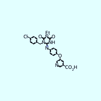 CCn1c(=O)[nH]/c(=N\c2ccc(Oc3cncc(C(=O)O)c3)cc2)n(Cc2ccc(Cl)cc2)c1=O